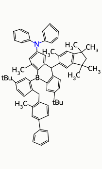 Cc1cc(-c2ccccc2)ccc1Cc1ccc(C(C)(C)C)cc1B1c2cc(C(C)(C)C)ccc2C(c2cc3c(cc2C)C(C)(C)CC3(C)C)c2cc(N(c3ccccc3)c3ccccc3)cc(C)c21